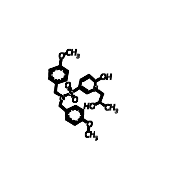 COc1ccc(CN(Cc2ccc(OC)cc2)S(=O)(=O)C2=CN(C[C@@H](C)O)C(O)C=C2)cc1